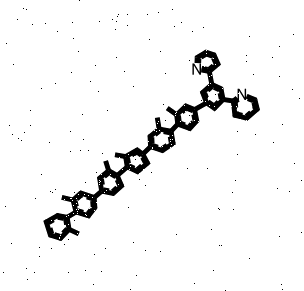 Cc1ccccc1-c1ccc(-c2ccc(-c3ccc(-c4ccc(-c5ccc(-c6cc(-c7ccccn7)cc(-c7ccccn7)c6)cc5C)c(C)c4)cc3C)c(C)c2)cc1C